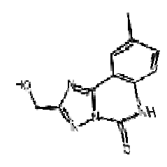 Cc1ccc2[nH]c(=O)n3nc(CO)nc3c2c1